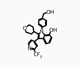 OCc1ccc(-n2c(C3CCOCC3)c(-c3ccnc(C(F)(F)F)c3)c3cccc(O)c32)cc1